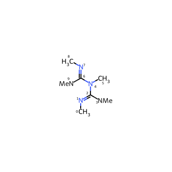 C/N=C(\NC)N(C)/C(=N/C)NC